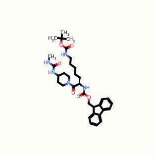 CNC(=O)NC1CCN(C(=O)[C@@H](CCCCCNC(=O)OC(C)(C)C)NC(=O)OCC2c3ccccc3-c3ccccc32)CC1